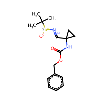 CC(C)(C)[S@@+]([O-])/N=C/C1(NC(=O)OCc2ccccc2)CC1